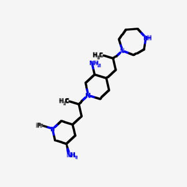 CC(C)N1CC(CC(C)N2CCC(CC(C)N3CCCNCC3)C(N)C2)C[C@@H](N)C1